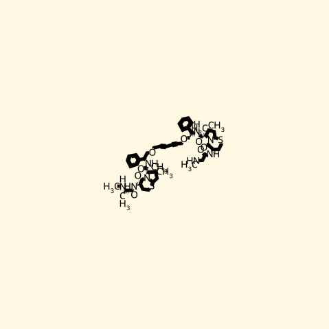 CNCC(=O)N[C@H]1CCSC2CC(C)(C)[C@@H](C(=O)N[C@H](COCC#CC#CCOCC(NC(=O)[C@H]3N4C(=O)[C@@H](NC(=O)[C@H](C)NC)CCSC4CC3(C)C)c3ccccc3)c3ccccc3)N2C1=O